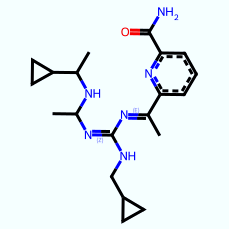 C/C(=N\C(=N/C(C)NC(C)C1CC1)NCC1CC1)c1cccc(C(N)=O)n1